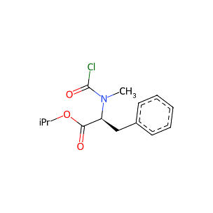 CC(C)OC(=O)[C@H](Cc1ccccc1)N(C)C(=O)Cl